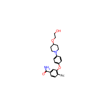 CC(=O)c1ccc(C(N)=O)cc1Oc1ccc(N2CCC(OCCO)CC2)cc1